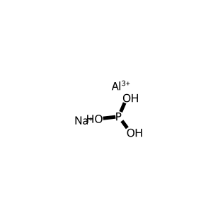 OP(O)O.[Al+3].[Na+]